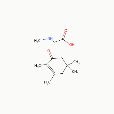 CC1=C(C)C(=O)CC(C)(C)C1.CNCC(=O)O